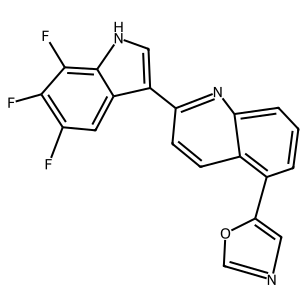 Fc1cc2c(-c3ccc4c(-c5cnco5)cccc4n3)c[nH]c2c(F)c1F